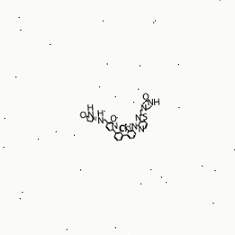 COc1nc(-c2cccc(-c3cccc(Nc4nccc5sc(CN6CCNC(=O)C6)nc45)c3Cl)c2Cl)ccc1CNC[C@@H]1CCC(=O)N1